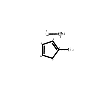 [Li][C](C)(C)C.[Li][C]1=CC=CC1